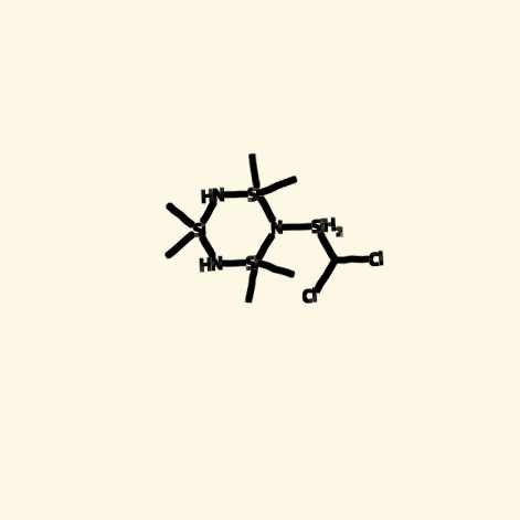 C[Si]1(C)N[Si](C)(C)N([SiH2]C(Cl)Cl)[Si](C)(C)N1